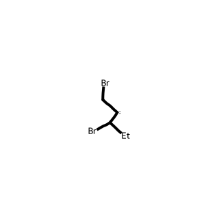 CCC(Br)[C]CBr